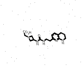 O=C(O)CN1CC(NC(=O)NCCc2ccc3c(n2)NCCC3)C1